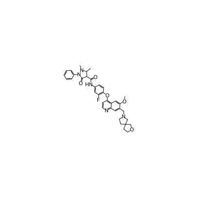 COc1cc2c(Oc3ccc(NC(=O)C4C(=O)N(c5ccccc5)N(C)C4C)cc3F)ccnc2cc1CN1CCC2(CCOC2)C1